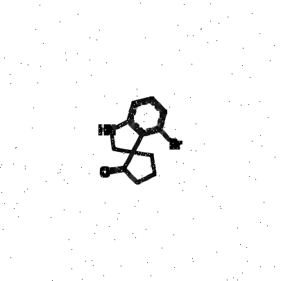 O=C1CCCC12CNc1cccc(Br)c12